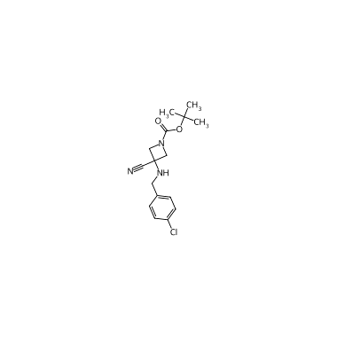 CC(C)(C)OC(=O)N1CC(C#N)(NCc2ccc(Cl)cc2)C1